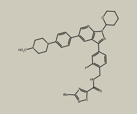 CC(C)(C)c1noc(C(=O)NCc2ccc(-c3nn(C4CCCCO4)c4ncc(-c5ccc(N6CCN(C(=O)O)CC6)cc5)cc34)cc2F)n1